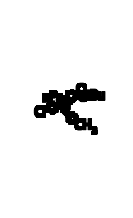 CCC[C@H](c1ccc(C(=O)OC(C)(C)C)cc1)[C@@H](OCc1ccc(C)cc1)c1ccc(Cl)cc1